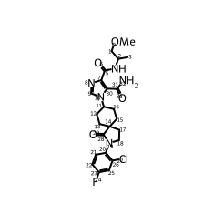 COCC(C)NC(=O)c1ncn(C2CCC3(CC2)CCN(c2ccc(F)cc2Cl)C3=O)c1C(N)=O